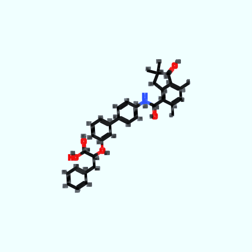 Cc1cc(C)c2c(c1C(=O)Nc1ccc(-c3cccc(OC(Cc4ccccc4)C(=O)O)c3)cc1)CC(C)(C)C2=O